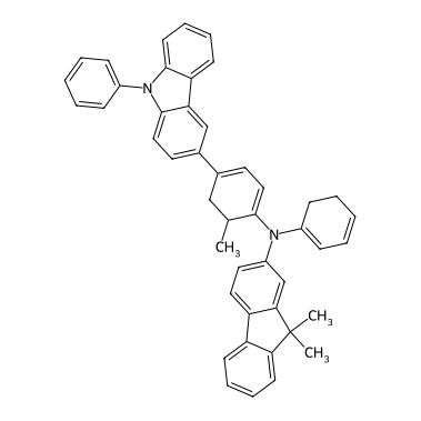 CC1CC(c2ccc3c(c2)c2ccccc2n3-c2ccccc2)=CC=C1N(C1=CC=CCC1)c1ccc2c(c1)C(C)(C)c1ccccc1-2